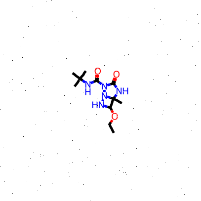 CCOC1NN2N(C(=O)NC(C)(C)C)C(=O)NC12C